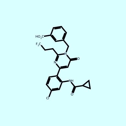 O=C(O)c1cccc(Cn2c(CCC(F)(F)F)nc(-c3ccc(Cl)cc3NC(=O)C3CC3)cc2=O)c1